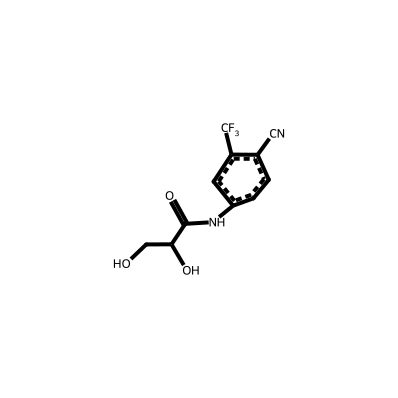 N#Cc1ccc(NC(=O)C(O)CO)cc1C(F)(F)F